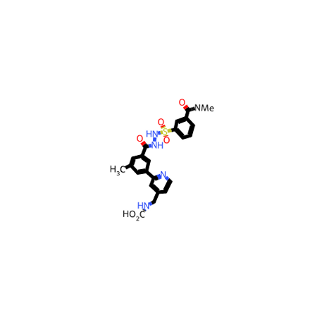 CNC(=O)c1cccc(S(=O)(=O)NNC(=O)c2cc(C)cc(-c3cc(CNC(=O)O)ccn3)c2)c1